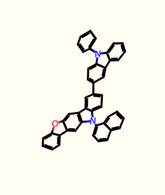 c1ccc(-n2c3ccccc3c3cc(-c4ccc5c(c4)c4cc6oc7ccccc7c6cc4n5-c4cccc5ccccc45)ccc32)cc1